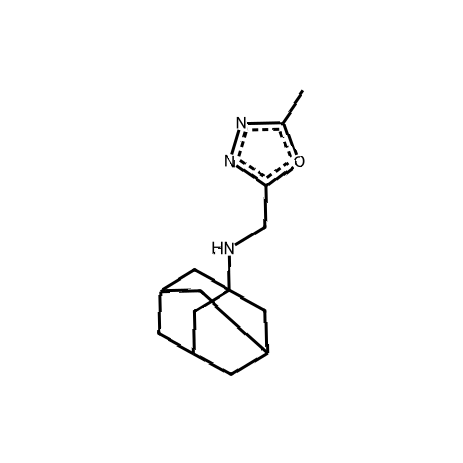 Cc1nnc(CNC23CC4CC(CC(C4)C2)C3)o1